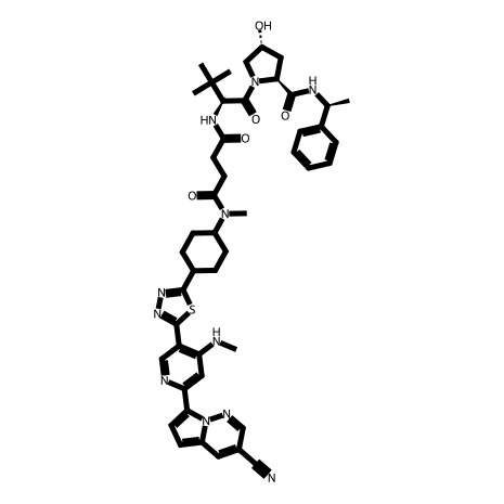 CNc1cc(-c2ccc3cc(C#N)cnn23)ncc1-c1nnc(C2CCC(N(C)C(=O)CCC(=O)N[C@H](C(=O)N3C[C@H](O)C[C@H]3C(=O)N[C@@H](C)c3ccccc3)C(C)(C)C)CC2)s1